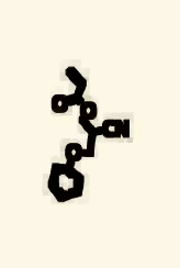 C=CC(=O)OCC(C#N)COc1ccccc1